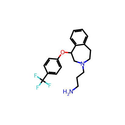 NCCCN1CCc2ccccc2C(Oc2ccc(C(F)(F)F)cc2)C1